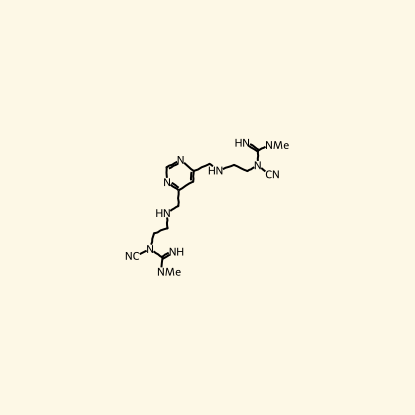 CNC(=N)N(C#N)CCNCc1cc(CNCCN(C#N)C(=N)NC)ncn1